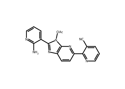 CC(=O)On1c(-c2cccnc2N)nc2ccc(-c3ncccc3C#N)nc21